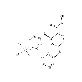 COC(=O)N1CCN(Cc2ccccc2)C[C@H]1Cc1ccc(C(F)(F)F)cc1